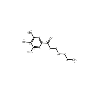 CC(C)(C)c1cc(C(=O)CCOCCO)cc(C(C)(C)C)c1O